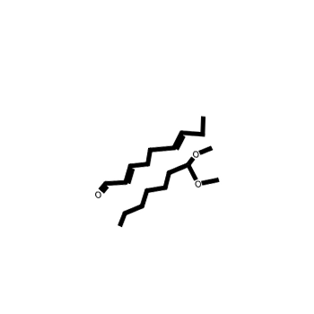 CCC=CCCC=CC=O.CCCCCCC(OC)OC